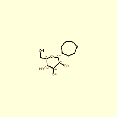 OC[C@H]1O[C@H](C2CCCCCC2)[C@@H](O)[C@@H](O)[C@@H]1O